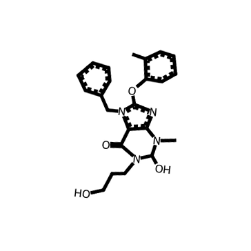 Cc1ccccc1Oc1nc2c(n1Cc1ccccc1)C(=O)N(CCCO)C(O)N2C